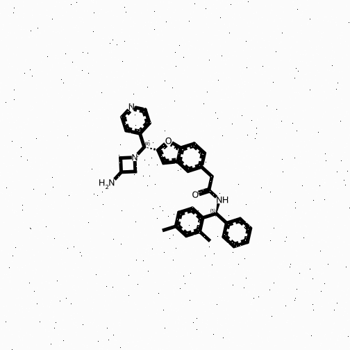 Cc1ccc([C@@H](NC(=O)Cc2ccc3oc([C@@H](c4ccncc4)N4CC(N)C4)cc3c2)c2ccccc2)c(C)c1